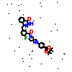 CC1(C)OB(c2ccc(N3CC4(CCN(C(=O)c5cc(Cc6n[nH]c(=O)c7ccccc67)ccc5F)C4)C3)cc2)OC1(C)C